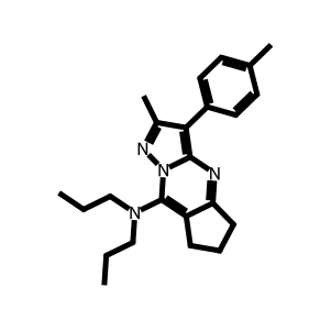 CCCN(CCC)c1c2c(nc3c(-c4ccc(C)cc4)c(C)nn13)CCC2